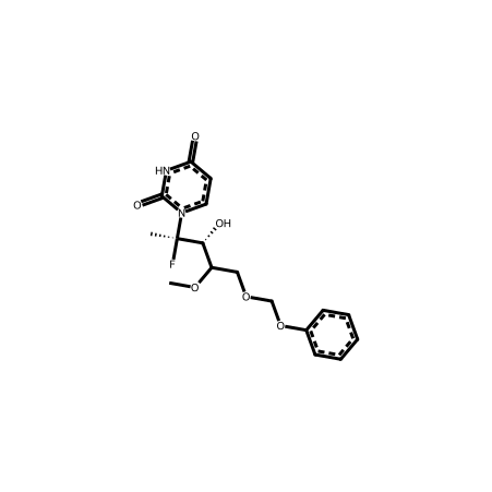 COC(COCOc1ccccc1)[C@@H](O)[C@@](C)(F)n1ccc(=O)[nH]c1=O